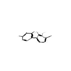 CCc1c(Cl)ccc2c1sc1cc(I)ccc12